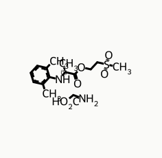 Cc1cccc(C)c1N[C@@H](C)C(=O)OCCS(C)(=O)=O.NCC(=O)O